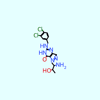 CC(O)C(N)Cn1ncc2nc(NCc3ccc(Cl)c(Cl)c3)[nH]c(=O)c21